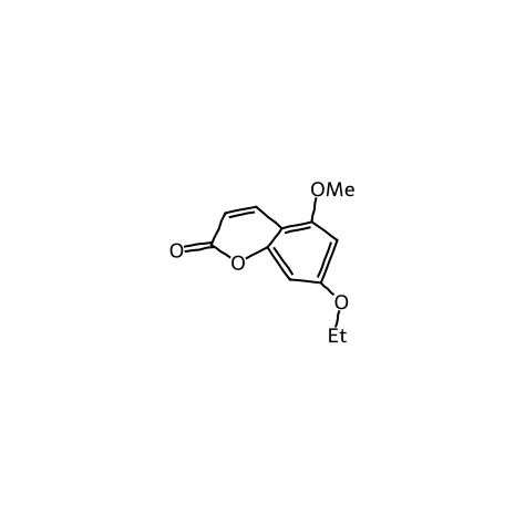 CCOc1cc(OC)c2ccc(=O)oc2c1